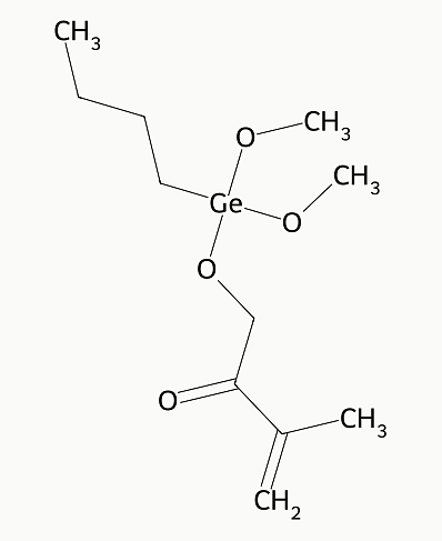 C=C(C)C(=O)C[O][Ge]([CH2]CCC)([O]C)[O]C